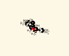 COCOc1ccc(C2OCC(C)(C)CO2)cc1C(O)(c1cccc(NC(C)C)c1)c1cc(C2OCC(C)(C)CO2)ccc1OC